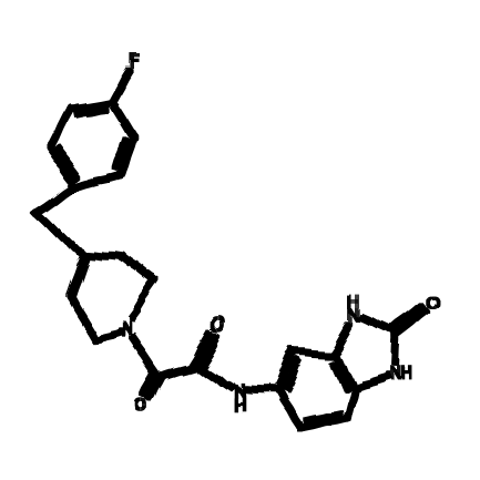 O=C(Nc1ccc2[nH]c(=O)[nH]c2c1)C(=O)N1CCC(Cc2ccc(F)cc2)CC1